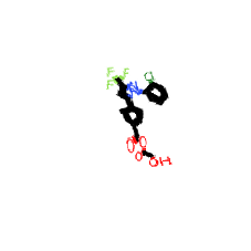 O=C(CO)OC(=O)c1ccc(-c2cc(C(F)(F)F)nn2-c2ccccc2Cl)cc1